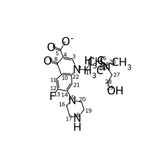 CCn1cc(C(=O)[O-])c(=O)c2cc(F)c(N3CCNCC3)cc21.C[N+](C)(C)CCO